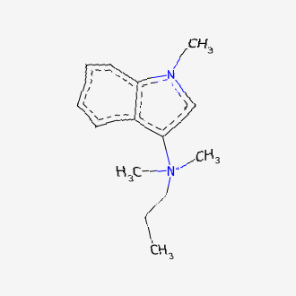 CCC[N+](C)(C)c1cn(C)c2ccccc12